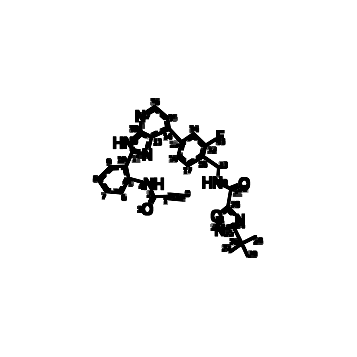 C#CC(=O)Nc1ccccc1-c1nc2c(-c3ccc(CNC(=O)c4nc(C(C)(C)C)no4)c(F)c3)ccnc2[nH]1